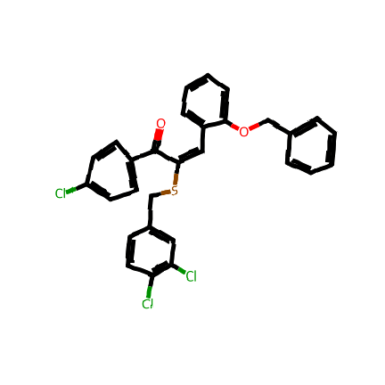 O=C(/C(=C\c1ccccc1OCc1ccccc1)SCc1ccc(Cl)c(Cl)c1)c1ccc(Cl)cc1